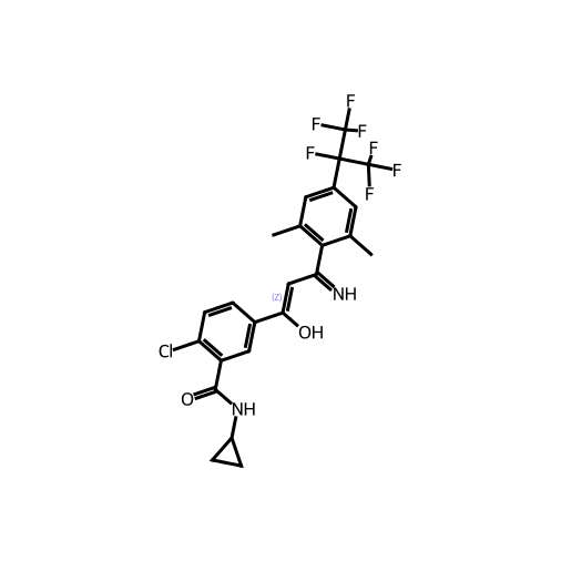 Cc1cc(C(F)(C(F)(F)F)C(F)(F)F)cc(C)c1C(=N)/C=C(\O)c1ccc(Cl)c(C(=O)NC2CC2)c1